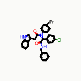 CC(C)c1ccc(N(C(=O)Cc2c[nH]c3ccccc23)C(C(=O)NCc2ccccc2)c2ccc(Cl)cc2)cc1